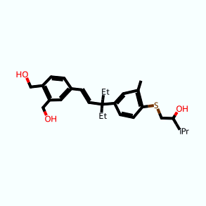 CCC(C=Cc1ccc(CO)c(CO)c1)(CC)c1ccc(SCC(O)C(C)C)c(C)c1